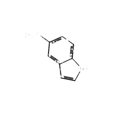 CCOC(=O)c1ccc2[nH]ccc2c1